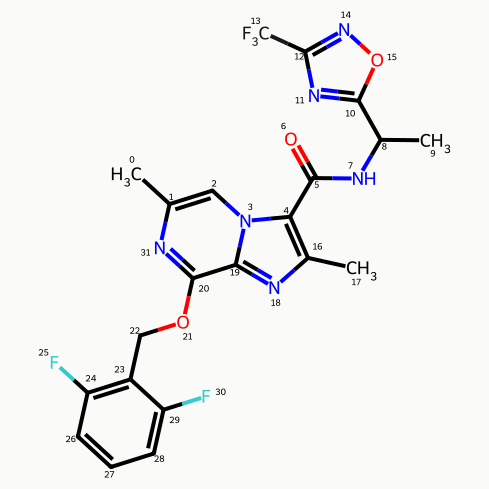 Cc1cn2c(C(=O)NC(C)c3nc(C(F)(F)F)no3)c(C)nc2c(OCc2c(F)cccc2F)n1